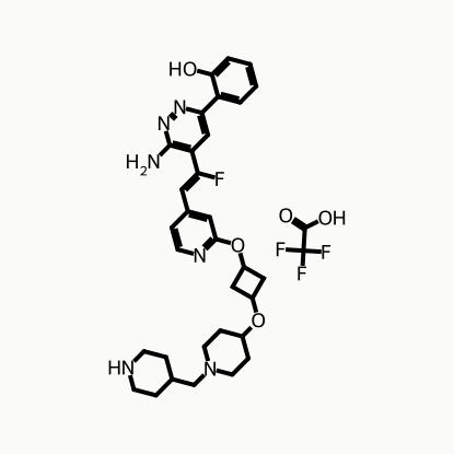 Nc1nnc(-c2ccccc2O)cc1C(F)=Cc1ccnc(OC2CC(OC3CCN(CC4CCNCC4)CC3)C2)c1.O=C(O)C(F)(F)F